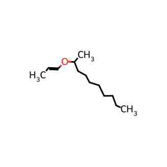 C/C=C/OC(C)CCCCCCCC